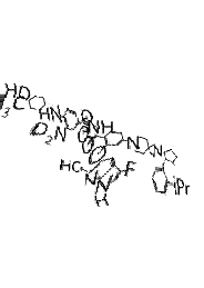 C#Cc1nc2[nH]cc(F)c2cc1Oc1cc(N2CCC3(CC2)CN(C2CCC[C@H]2c2ccccc2C(C)C)C3)ccc1C(=O)NS(=O)(=O)c1ccc(NC[C@H]2CC[C@](C)(O)CC2)c([N+](=O)[O-])c1